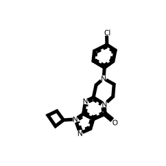 O=c1c2cnn(C3CCC3)c2nc2n1CCN(c1ccc(Cl)cc1)C2